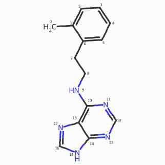 Cc1ccccc1CCNc1ncnc2[nH]cnc12